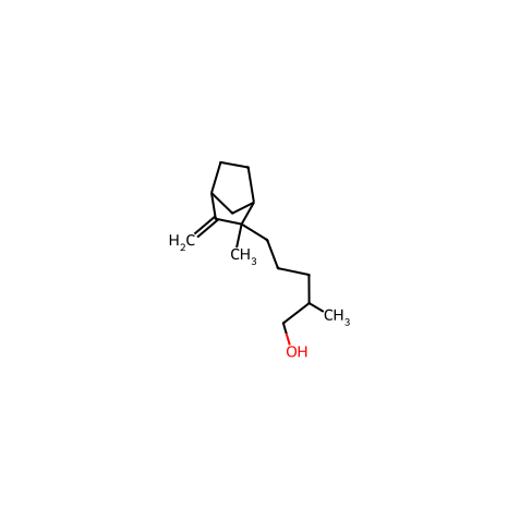 C=C1C2CCC(C2)C1(C)CCCC(C)CO